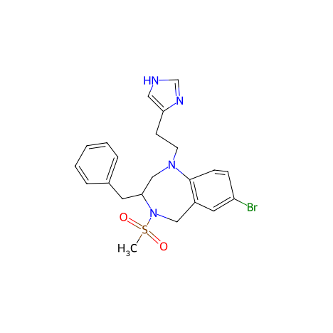 CS(=O)(=O)N1Cc2cc(Br)ccc2N(CCc2c[nH]cn2)CC1Cc1ccccc1